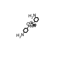 Nc1ccc(C(=O)NS(=O)(=O)c2cccc(N)c2)cc1